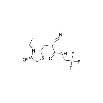 CCN1C(=O)CSC1CC(C#N)C(=O)NCC(F)(F)F